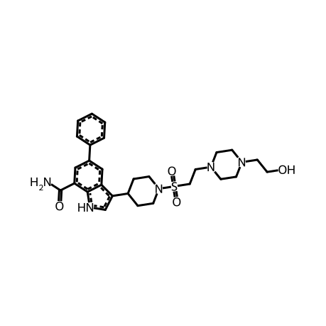 NC(=O)c1cc(-c2ccccc2)cc2c(C3CCN(S(=O)(=O)CCN4CCN(CCO)CC4)CC3)c[nH]c12